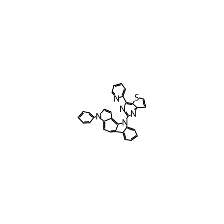 c1ccc(-n2ccc3c2ccc2c4ccccc4n(-c4nc(-c5ccccn5)c5sccc5n4)c23)cc1